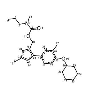 CCCN(C)C(=O)OCc1cc(F)sc1-c1ccc(OC2CCCCC2)c(C)n1